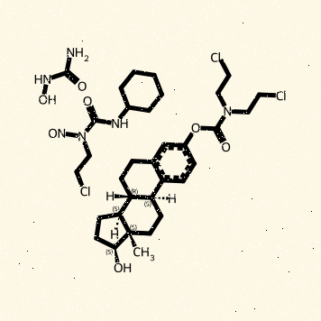 C[C@]12CC[C@@H]3c4ccc(OC(=O)N(CCCl)CCCl)cc4CC[C@H]3[C@@H]1CC[C@@H]2O.NC(=O)NO.O=NN(CCCl)C(=O)NC1CCCCC1